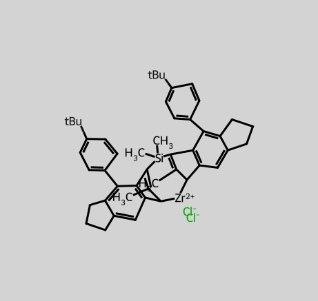 CC1=C2c3c(cc4c(c3-c3ccc(C(C)(C)C)cc3)CCC4)[CH]1[Zr+2][CH]1C(C)=C(c3c1cc1c(c3-c3ccc(C(C)(C)C)cc3)CCC1)[Si]2(C)C.[Cl-].[Cl-]